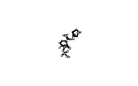 N=C(N[C@@H]1CCNC1)[C@@H]1CC[C@@H]2CN1C(=O)N2OS(=O)(=O)O